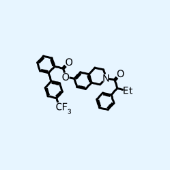 CCC(C(=O)N1CCc2cc(OC(=O)c3ccccc3-c3ccc(C(F)(F)F)cc3)ccc2C1)c1ccccc1